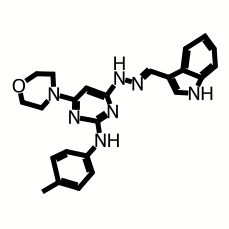 Cc1ccc(Nc2nc(NN=Cc3c[nH]c4ccccc34)cc(N3CCOCC3)n2)cc1